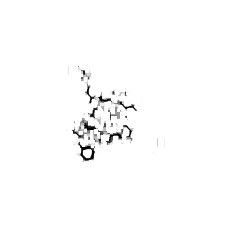 CC(O)[C@H](NC[C@H](CCC(=O)O)NC(=O)[C@@H](N)CO)C(=O)N[C@@H](CO)C(=O)N[C@@H](CCCCN=NN)C(=O)N[C@@H](CN=O)C(=O)N[C@@H](Cc1ccccc1)C(N)=O